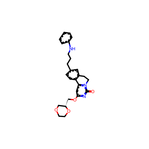 O=c1nc(OC[C@H]2COCCO2)cc2n1CCc1cc(CCCNc3ccccc3)ccc1-2